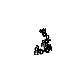 C=CC(=O)N1CC(c2ccc3ncnc(Nc4cc(C)c(Oc5ccc6c(c5)ncn6C)cc4F)c3n2)CCC1CC